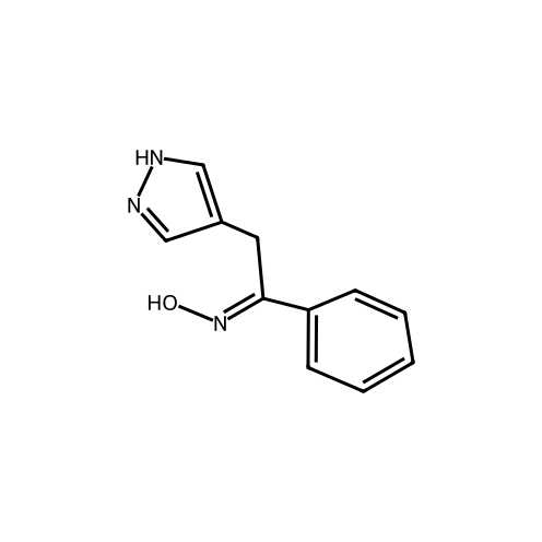 ON=C(Cc1cn[nH]c1)c1ccccc1